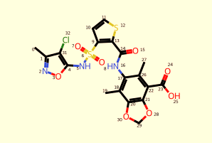 Cc1noc(NS(=O)(=O)c2ccsc2C(=O)Nc2c(C)c3c(c(C(=O)O)c2C)OCO3)c1Cl